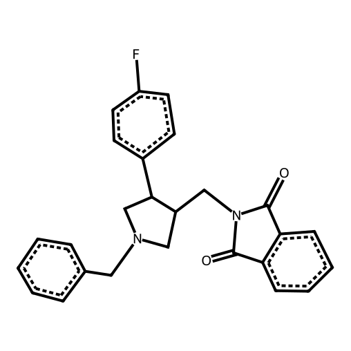 O=C1c2ccccc2C(=O)N1CC1CN(Cc2ccccc2)CC1c1ccc(F)cc1